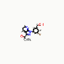 COC(=O)c1nn(-c2cc(Br)cc(CO)c2)c2ncccc12